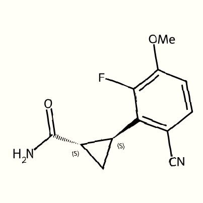 COc1ccc(C#N)c([C@H]2C[C@@H]2C(N)=O)c1F